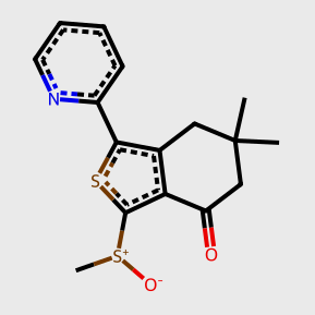 C[S+]([O-])c1sc(-c2ccccn2)c2c1C(=O)CC(C)(C)C2